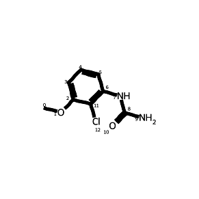 COc1cccc(NC(N)=O)c1Cl